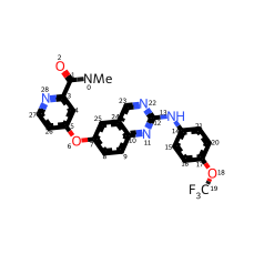 CNC(=O)c1cc(Oc2ccc3nc(Nc4ccc(OC(F)(F)F)cc4)ncc3c2)ccn1